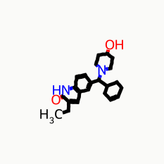 CCc1cc2cc(C(C3CC=CCC3)N3CCC(O)CC3)ccc2[nH]c1=O